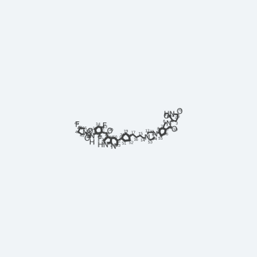 O=C1CCC(N2Cc3cc(N4CCN(CCCCc5ccc(-c6cnc7[nH]cc(C(=O)c8c(F)ccc(NS(=O)(=O)N9CC[C@@H](F)C9)c8F)c7c6)cc5)CC4)ccc3C2=O)C(=O)N1